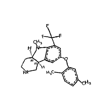 Cc1ccc(C)c(Oc2cc3c(c(C(F)(F)F)c2)N(C)[C@@H]2CCNC[C@H]32)c1